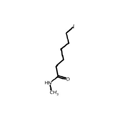 CNC(=O)CCCCCI